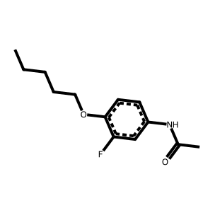 CCCCCOc1ccc(NC(C)=O)cc1F